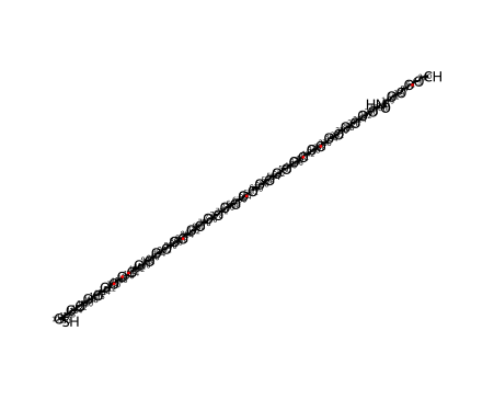 C#CCOCCOCCOCCOCCC(=O)NCCOCCOCCOCCOCCOCCOCCOCCOCCOCCOCCOCCOCCOCCOCCOCCOCCOCCOCCOCCOCCOCCOCCOCCOCCOCCOCCOCCOCCOCCOCCOCCOCCOCCOCCOCCOCCC(=O)S